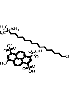 CCCCCCCCCCCCCCCC[N+](C)(C)C.O=S(=O)([O-])c1cc(O)c2ccc3c(S(=O)(=O)O)cc(S(=O)(=O)O)c4ccc1c2c34